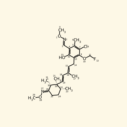 CO/N=C/c1c(C)c(Cl)c(OCF)c(C/C=C(C)/C=C/[C@@]2(C)[C@H](C)CC/C(=N\OC)[C@@H]2C)c1O